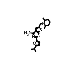 CC(C)c1ccc(-c2nc(N)c3cc(CN4C(C)CCCC4C)sc3n2)o1